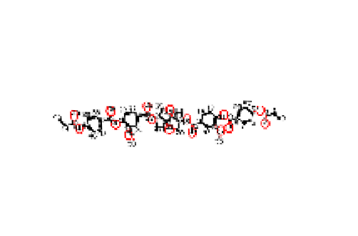 C=CC(=O)Oc1ccc(C(=O)Oc2ccc(C(=O)O[C@@H]3CO[C@@H]4[C@H]3OC[C@H]4OC(=O)c3ccc(OC(=O)c4ccc(OC(=O)C=C)cc4)c(OC)c3)cc2OC)cc1